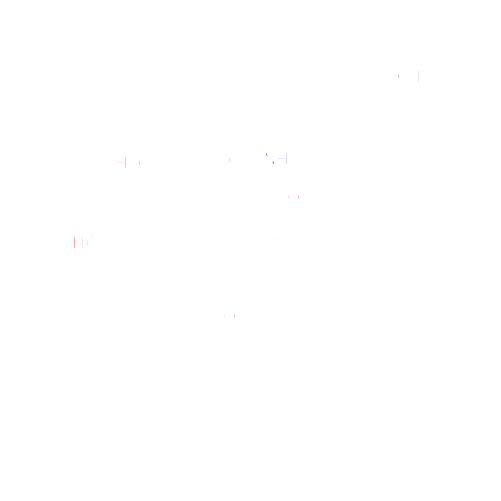 CCCCNOc1c(O)c(O)cc2oc(-c3ccccc3)cc(=O)c12